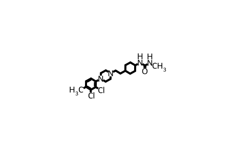 CNC(=O)NC1CCC(CCN2CCN(c3ccc(C)c(Cl)c3Cl)CC2)CC1